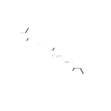 C=C(C)C(=O)OCCNC(=O)OCCOC(=O)C(=C)C